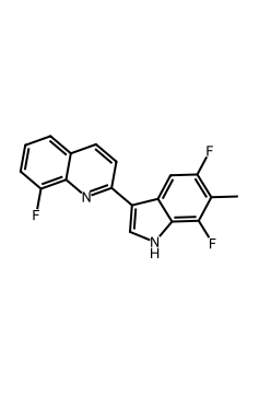 Cc1c(F)cc2c(-c3ccc4cccc(F)c4n3)c[nH]c2c1F